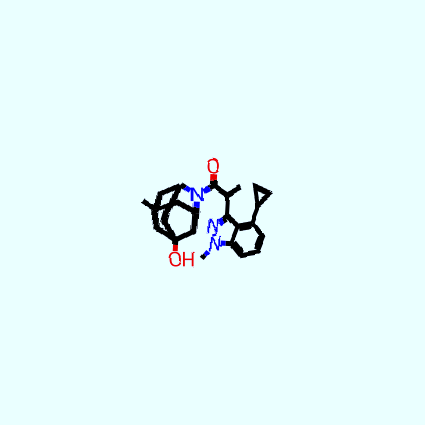 CC(C(=O)N1C2CC3(C)CC1CC(O)(C2)C3)c1nn(C)c2cccc(C3CC3)c12